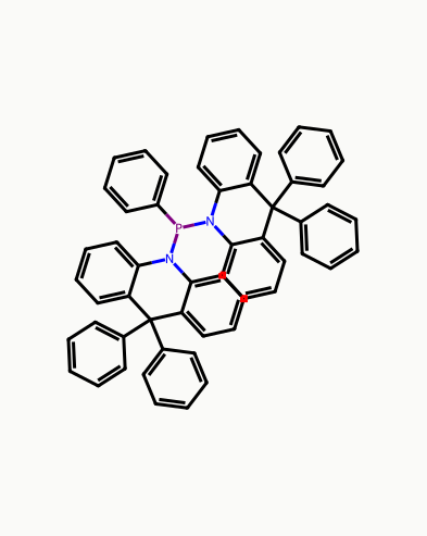 c1ccc(P(N2c3ccccc3C(c3ccccc3)(c3ccccc3)c3ccccc32)N2c3ccccc3C(c3ccccc3)(c3ccccc3)c3ccccc32)cc1